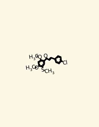 COc1cc(OC)c(C(=O)/C=C/c2ccc(Cl)cc2)cc1SC